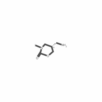 NC[C@@H]1COC(=O)N(I)C1